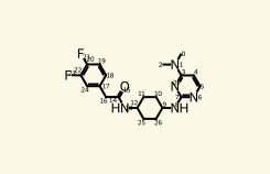 CN(C)c1ccnc(NC2CCC(NC(=O)Cc3ccc(F)c(F)c3)CC2)n1